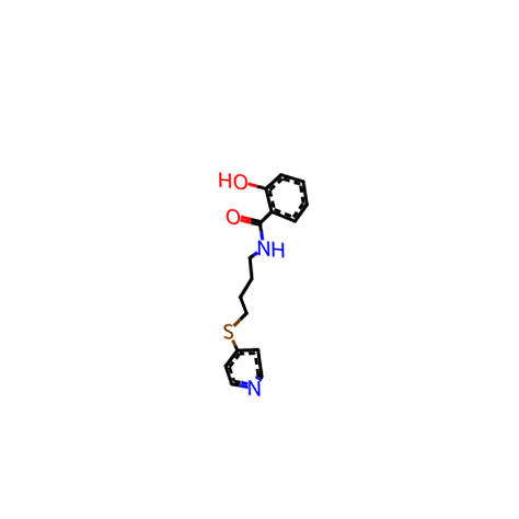 O=C(NCCCCSc1ccncc1)c1ccccc1O